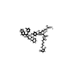 Cc1cccc(-c2nc(CN(CC3CCCCC3)C(=O)OCc3ccc(NC(=O)C(CCCNC(N)=O)NC(=O)C(NC(=O)CCCCCN4C(=O)C=CC4=O)C(C)C)cc3)[nH]c2-c2ccc3ncnn3c2)n1